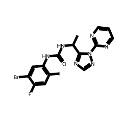 CC(NC(=O)Nc1cc(Br)c(F)cc1I)c1ncnn1-c1ncccn1